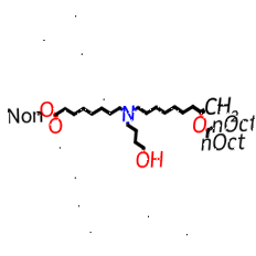 C=C(CCCCCCCN(CCCCO)CCCCCCCC(=O)OCCCCCCCCC)OC(CCCCCCCC)CCCCCCCC